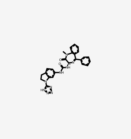 CN1C(=O)[C@H](NC(=O)Nc2ccc3c(c2)N(c2nnn[nH]2)CC3)N=C(c2ccccc2)c2ccccc21